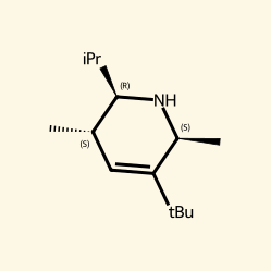 CC(C)[C@H]1N[C@@H](C)C(C(C)(C)C)=C[C@@H]1C